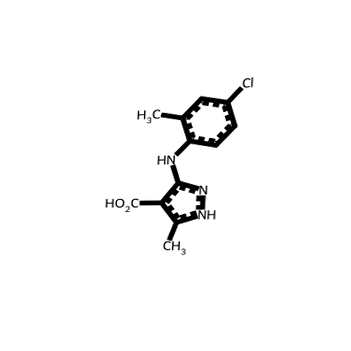 Cc1cc(Cl)ccc1Nc1n[nH]c(C)c1C(=O)O